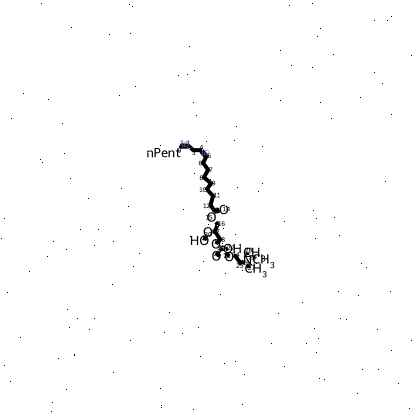 CCCCC/C=C\C/C=C\CCCCCCCC(=O)OCC(COP(=O)(O)OCC[N+](C)(C)C)OO